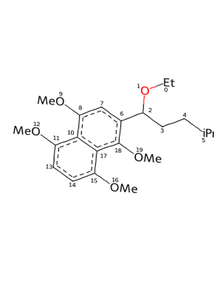 CCOC(CCC(C)C)c1cc(OC)c2c(OC)ccc(OC)c2c1OC